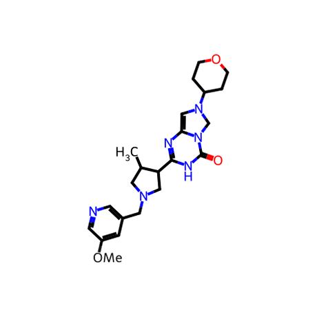 COc1cncc(CN2CC(C)C(C3=NC4=CN(C5CCOCC5)CN4C(=O)N3)C2)c1